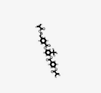 C=C(C)C(=O)OOCc1ccc(C(=O)Oc2ccc(OC(=O)c3ccc(OC(=O)C(=C)C)cc3)c(C(C)(C)C)c2)cc1